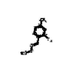 CC(C)(C)SN=Cc1ccc(C(F)(F)F)cc1F